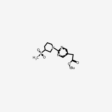 CC(C)(C)OC(=O)Cc1cnc(N2CCCC(S(C)(=O)=O)C2)nc1